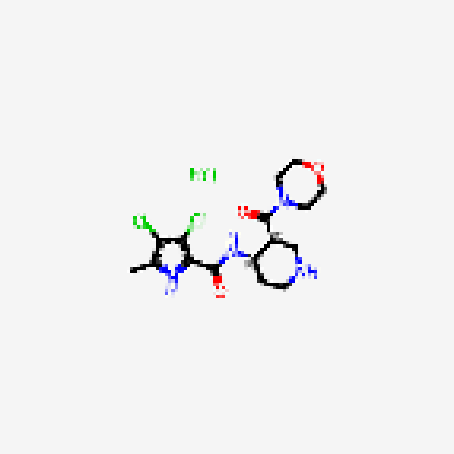 Cc1[nH]c(C(=O)N[C@@H]2CCNC[C@@H]2C(=O)N2CCOCC2)c(Cl)c1Cl.Cl